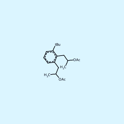 CC(=O)OC(C)Cc1cccc(C(C)(C)C)c1CC(C)OC(C)=O